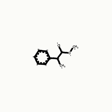 COC(Cl)C(C)c1ccccc1